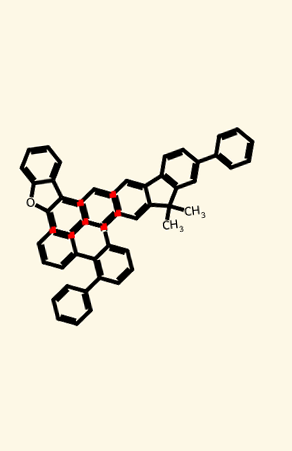 CC1(C)c2cc(-c3ccccc3)ccc2-c2ccc(N(c3ccc4oc5ccccc5c4c3)c3cccc(-c4ccccc4)c3-c3ccccc3-c3ccccc3)cc21